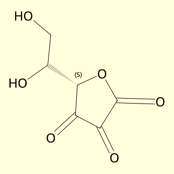 O=C1O[C@@H](C(O)CO)C(=O)C1=O